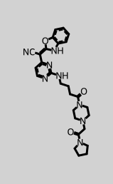 N#CC(=C1Nc2ccccc2O1)c1ccnc(NCCCC(=O)N2CCN(CC(=O)N3CCCC3)CC2)n1